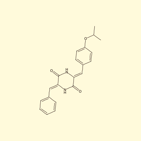 CC(C)Oc1ccc(C=c2[nH]c(=O)c(=Cc3ccccc3)[nH]c2=O)cc1